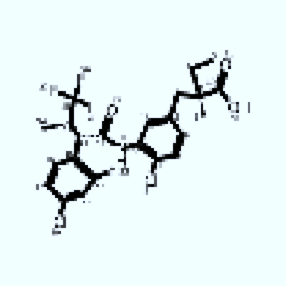 CC[C@@](C)(Cc1ccc(Cl)c(NC(=O)[C@H](c2ccc(Cl)cc2F)[C@@H](C)C(F)(F)F)c1)C(=O)O